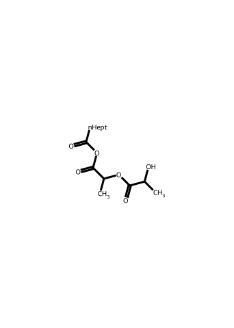 CCCCCCCC(=O)OC(=O)C(C)OC(=O)C(C)O